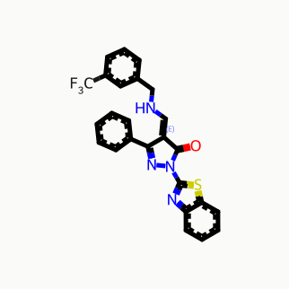 O=C1/C(=C/NCc2cccc(C(F)(F)F)c2)C(c2ccccc2)=NN1c1nc2ccccc2s1